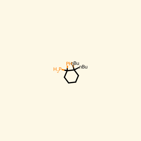 CCCCC1(CCCC)CCCCC1(P)P